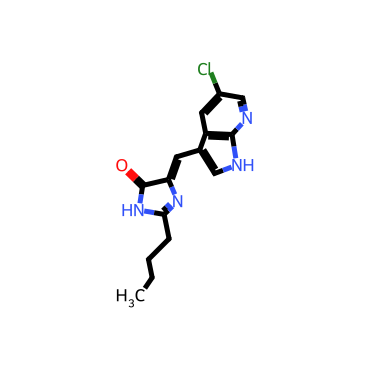 CCCCC1=N/C(=C\c2c[nH]c3ncc(Cl)cc23)C(=O)N1